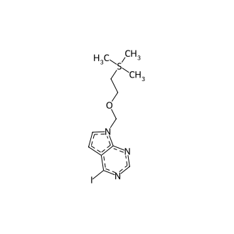 CS(C)(C)CCOCn1ccc2c(I)ncnc21